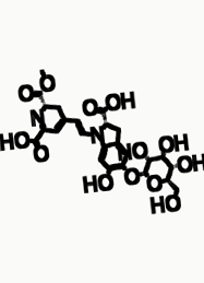 COC(=O)[C@@H]1CC(/C=C/N2c3cc(O)c(O[C@@H]4O[C@H](CO)[C@@H](O)[C@H](O)[C@H]4O)cc3C[C@H]2C(=O)O)=CC(C(=O)O)=N1